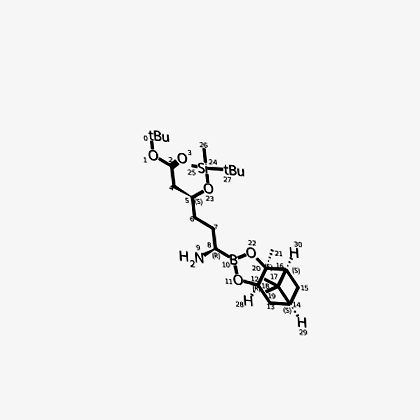 CC(C)(C)OC(=O)C[C@H](CC[C@H](N)B1O[C@@H]2C[C@@H]3C[C@@H](C3(C)C)[C@]2(C)O1)O[Si](C)(C)C(C)(C)C